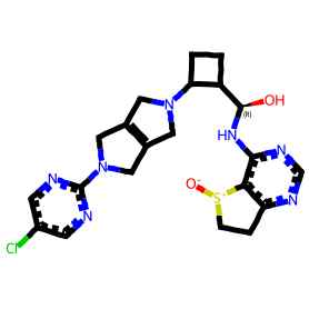 [O-][S+]1CCc2ncnc(N[C@H](O)C3CCC3N3CC4=C(CN(c5ncc(Cl)cn5)C4)C3)c21